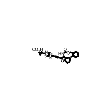 Cc1ccccc1COC(=O)Nc1c(C#Cc2nc3sc(C4(C(=O)O)CC4)nc3s2)oc2ccccc12